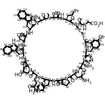 CCCC[C@H]1C(=O)N(C)[C@@H](CCCC)C(=O)N[C@@H](CCC(C)C)C(=O)N[C@H](C(=O)NCC(=O)O)CSCC(=O)N[C@@H](Cc2ccc(O)cc2)c2nnnn2[C@@H](N)C(=O)N[C@@H](CC(N)=O)C(=O)N2CCC[C@H]2C(=O)NC(Cc2c[nH]cn2)C(=O)N[C@@H](CCC(N)=O)C(=O)N2C[C@H](O)C[C@H]2C(=O)N[C@@H](Cc2c[nH]c3ccccc23)C(=O)N[C@@H](CO)C(=O)N[C@@H](Cc2csc3ccccc23)C(=O)N1C